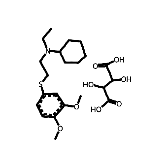 CCN(CCSc1ccc(OC)c(OC)c1)C1CCCCC1.O=C(O)C(O)C(O)C(=O)O